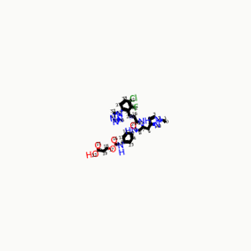 CCn1ccc(CC(CNc2ccc(NC(=O)OCCC(=O)O)cc2)NC(=O)/C=C/c2c(-n3cnnn3)ccc(Cl)c2F)n1